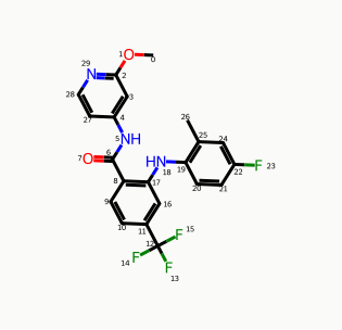 COc1cc(NC(=O)c2ccc(C(F)(F)F)cc2Nc2ccc(F)cc2C)ccn1